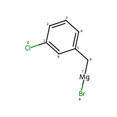 Clc1cccc([CH2][Mg][Br])c1